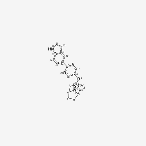 C[N+]1([O-])C2CCC1CC(Oc1ccc(-c3ccc4[nH]ccc4c3)nc1)C2